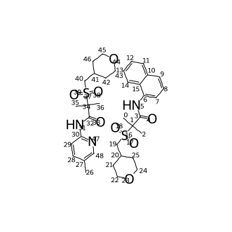 CC(C)(C(=O)Nc1cccc2ccccc12)S(=O)(=O)CC1CCOCC1.Cc1ccc(NC(=O)C(C)(C)S(=O)(=O)CC2CCOCC2)nc1